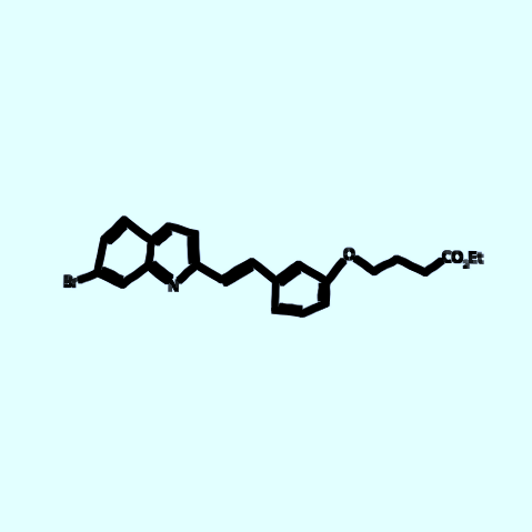 CCOC(=O)CCCOc1cccc(/C=C/c2ccc3ccc(Br)cc3n2)c1